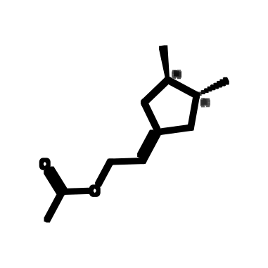 CC(=O)OCC=C1C[C@@H](C)[C@H](C)C1